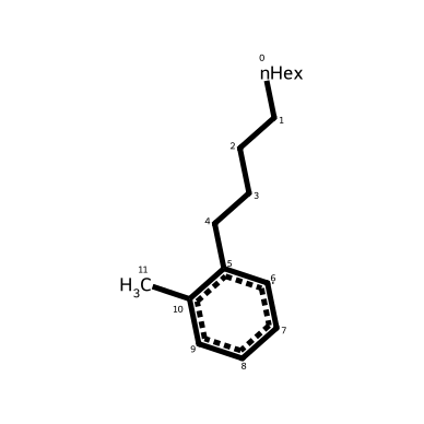 CCCCCCCCCCc1[c]cccc1C